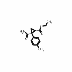 CCOC(=O)[C@H]1C[C@]1(C(N)=O)c1ccc(C)cc1